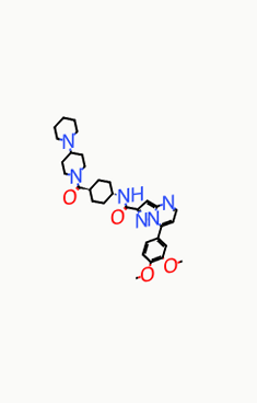 COc1ccc(-c2ccnc3cc(C(=O)N[C@H]4CC[C@H](C(=O)N5CCC(N6CCCCC6)CC5)CC4)nn23)cc1OC